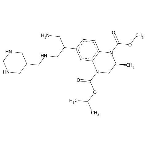 COC(=O)N1c2ccc(C(CN)CNCC3CNCNC3)cc2N(C(=O)OC(C)C)C[C@@H]1C